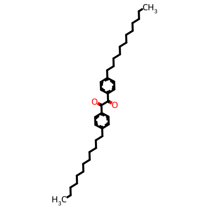 CCCCCCCCCCCCc1ccc(C(=O)C(=O)c2ccc(CCCCCCCCCCCC)cc2)cc1